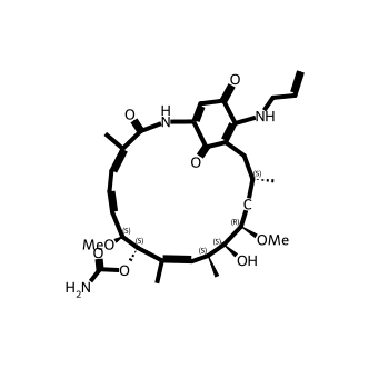 C=CCNC1=C2C[C@H](C)C[C@@H](OC)[C@@H](O)[C@@H](C)C=C(C)[C@H](OC(N)=O)[C@@H](OC)C=CC=C(C)C(=O)NC(=CC1=O)C2=O